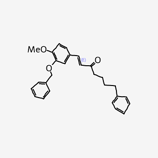 COc1ccc(/C=C/C(=O)CCCCc2ccccc2)cc1OCc1ccccc1